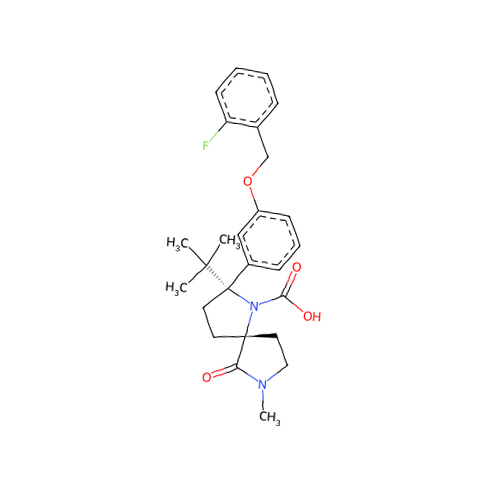 CN1CC[C@]2(CC[C@](c3cccc(OCc4ccccc4F)c3)(C(C)(C)C)N2C(=O)O)C1=O